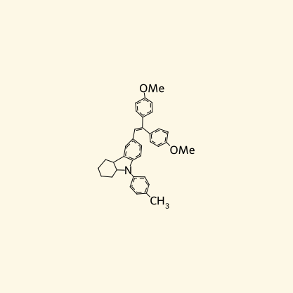 COc1ccc(C(=Cc2ccc3c(c2)C2CCCCC2N3c2ccc(C)cc2)c2ccc(OC)cc2)cc1